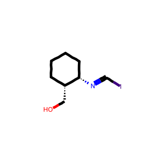 OC[C@@H]1CCCC[C@@H]1/N=C/I